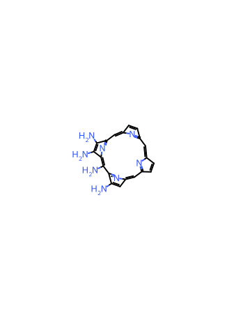 NC1=CC2=CC3=NC(=CC4=NC(=CC5=NC(=C(N)C1=N2)C(N)=C5N)C=C4)C=C3